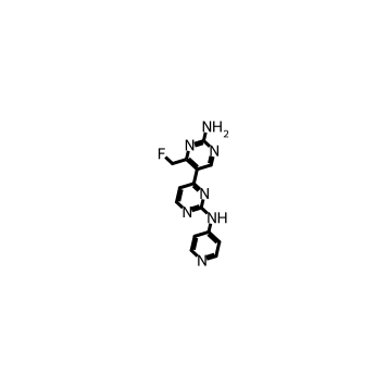 Nc1ncc(-c2ccnc(Nc3ccncc3)n2)c(CF)n1